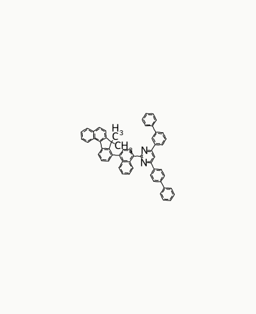 CC1(C)c2ccc3ccccc3c2-c2cccc(-c3ccc(-c4nc(-c5ccc(-c6ccccc6)cc5)cc(-c5cccc(-c6ccccc6)c5)n4)c4ccccc34)c21